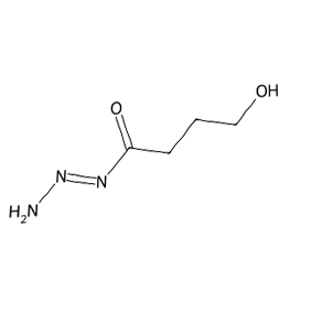 NN=NC(=O)CCCO